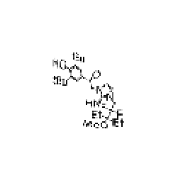 CCC(CC)(OC)C(F)(F)Cn1ccn(CC(=O)c2cc(C(C)(C)C)c(O)c(C(C)(C)C)c2)c1=N